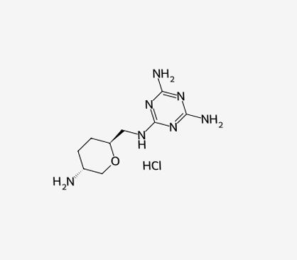 Cl.Nc1nc(N)nc(NC[C@@H]2CC[C@@H](N)CO2)n1